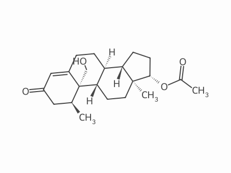 CC(=O)O[C@H]1CC[C@H]2[C@@H]3CCC4=CC(=O)C[C@H](C)[C@]4(CO)[C@H]3CC[C@]12C